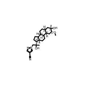 CO[C@@H]1C[C@H]2[C@H](CC[C@@H]3[C@@H]2CC[C@]2(C)[C@@H](C(C)(O)Cn4cc(C#N)cn4)CC[C@@H]32)C[C@]1(C)O